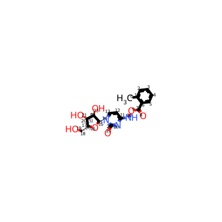 Cc1ccccc1C(=O)ONc1ccn([C@@H]2O[C@H](CO)[C@@H](O)[C@H]2O)c(=O)n1